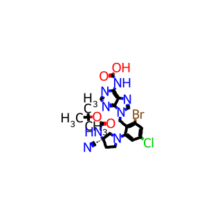 CC(C)(C)OC(=O)N[C@]1(C#N)CCN(c2cc(Cl)cc(Br)c2Cn2cnc3c(NC(=O)O)ncnc32)C1